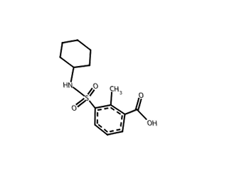 Cc1c(C(=O)O)cccc1S(=O)(=O)NC1CCCCC1